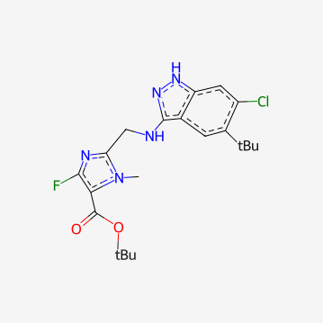 Cn1c(CNc2n[nH]c3cc(Cl)c(C(C)(C)C)cc23)nc(F)c1C(=O)OC(C)(C)C